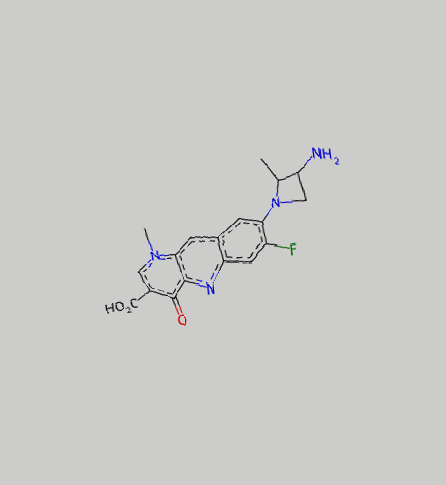 CC1C(N)CN1c1cc2cc3c(nc2cc1F)c(=O)c(C(=O)O)cn3C